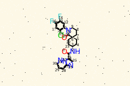 O=C(N[C@H]1CC[C@@]2(CCCN(c3cc(F)c(F)cc3Cl)C2=O)CC1)c1cnc2cccnn12